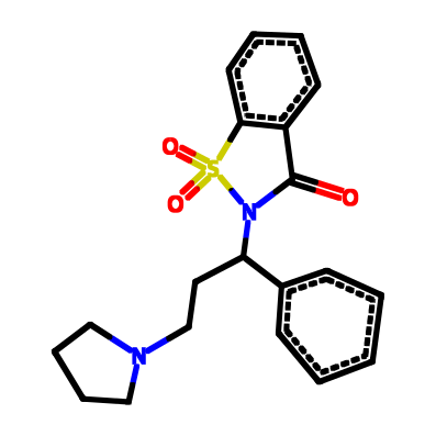 O=C1c2ccccc2S(=O)(=O)N1C(CCN1CCCC1)c1ccccc1